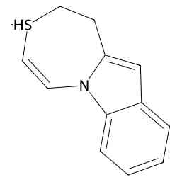 C1=Cn2c(cc3ccccc32)CC[SH]1